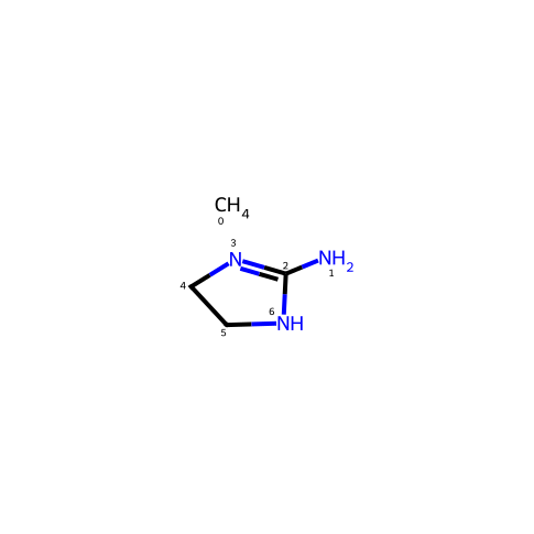 C.NC1=NCCN1